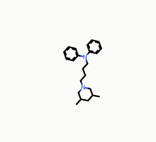 CC1CC(C)CN(CCCCN(c2ccccc2)c2ccccc2)C1